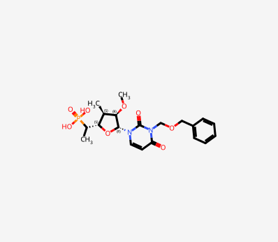 CO[C@@H]1[C@H](C)[C@@H](C(C)P(=O)(O)O)O[C@H]1n1ccc(=O)n(COCc2ccccc2)c1=O